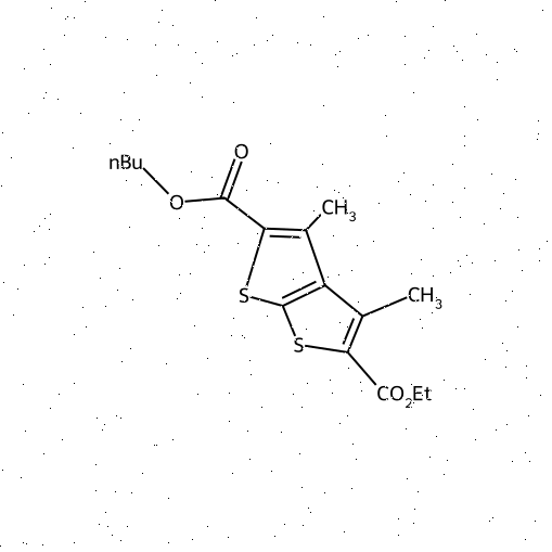 CCCCOC(=O)c1sc2sc(C(=O)OCC)c(C)c2c1C